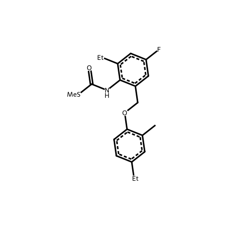 CCc1ccc(OCc2cc(F)cc(CC)c2NC(=O)SC)c(C)c1